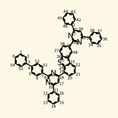 c1ccc(-c2ccc(-c3nc(-c4ccccc4)cc(-c4cccc5c4sc4ccc(-c6nc(-c7ccccc7)cc(-c7ccccc7)n6)cc45)n3)cc2)cc1